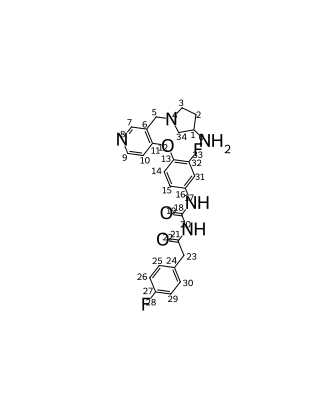 NC1CCN(Cc2cnccc2Oc2ccc(NC(=O)NC(=O)Cc3ccc(F)cc3)cc2F)C1